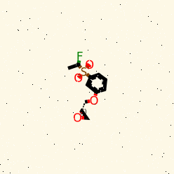 CC(F)S(=O)(=O)c1cccc(OC[C@@H]2CO2)c1